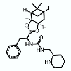 CC1(C)[C@@H]2C[C@H]3OB([C@H](Cc4ccccc4)NC(=O)NC[C@H]4CCCCN4)O[C@@]3(C)[C@H]1C2